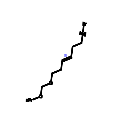 CCCOCOCC/C=C/C[CH2][Mg][Br]